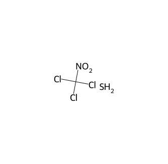 O=[N+]([O-])C(Cl)(Cl)Cl.S